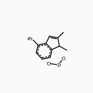 [CH2]C1C(C)=Cc2c(C(C)C)cccc21.[Cl][Zr][Cl]